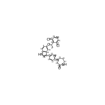 C[C@@H](Oc1ccc2[nH]nc(-c3ccc(N4CCCNC(=O)C4)nc3)c2c1)c1c(Cl)cncc1Cl